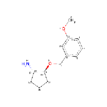 COc1cccc(CO[C@H]2CCC[C@@H]2N)c1